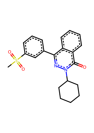 CS(=O)(=O)c1cccc(-c2nn(C3CCCCC3)c(=O)c3ccccc23)c1